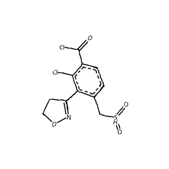 O=C(Cl)c1ccc(C[SH](=O)=O)c(C2=NOCC2)c1Cl